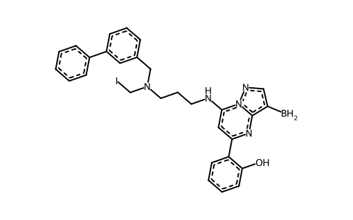 Bc1cnn2c(NCCCN(CI)Cc3cccc(-c4ccccc4)c3)cc(-c3ccccc3O)nc12